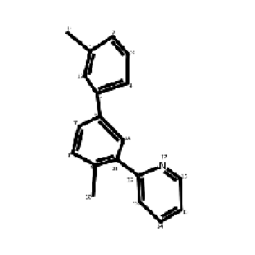 Cc1cccc(-c2ccc(C)c(-c3ccccn3)c2)c1